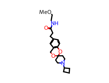 COCCNC(=O)CCc1ccc2c(c1)COC1(CCN(C3CCC3)CC1)O2